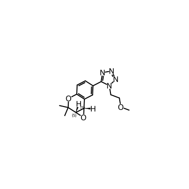 COCCn1nnnc1-c1ccc2c(c1)[C@@H]1O[C@@H]1C(C)(C)O2